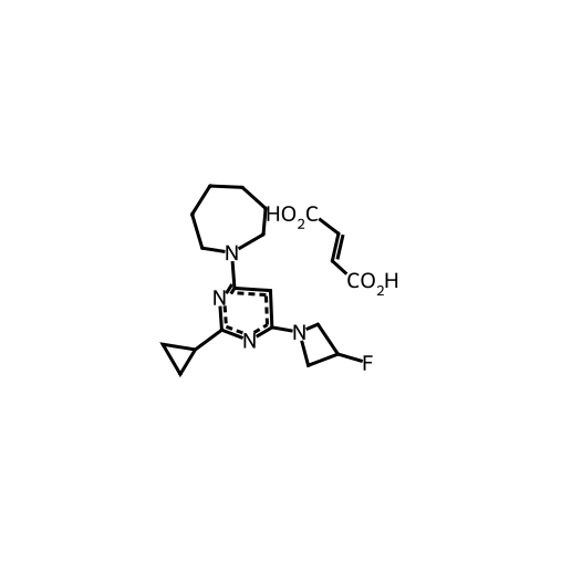 FC1CN(c2cc(N3CCCCCC3)nc(C3CC3)n2)C1.O=C(O)C=CC(=O)O